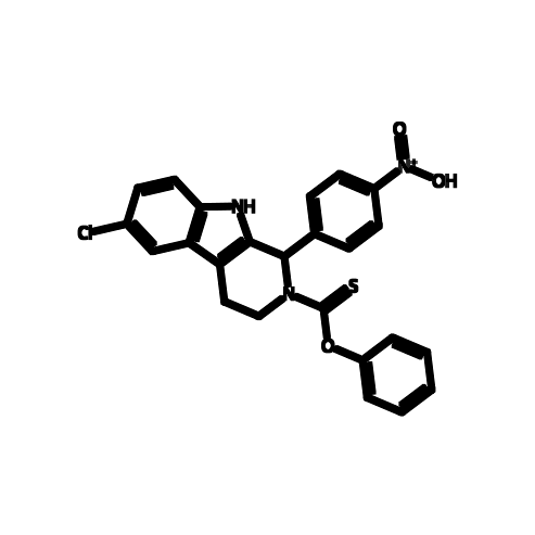 O=[N+](O)c1ccc(C2c3[nH]c4ccc(Cl)cc4c3CCN2C(=S)Oc2ccccc2)cc1